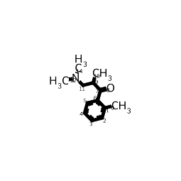 Cc1ccccc1C(=O)C(C)CN(C)C